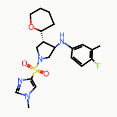 Cc1cc(N[C@H]2CN(S(=O)(=O)c3cn(C)cn3)C[C@@H]2C2CCCCO2)ccc1F